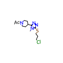 CC(=O)N1CCC(c2nnc(SCCCCl)n2C)CC1